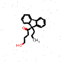 CCCC1(C(=O)CCCO)c2ccccc2-c2ccccc21